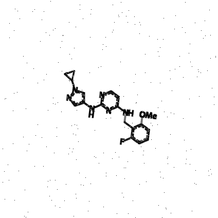 COc1cccc(F)c1CNc1ccnc(Nc2cnn(C3CC3)c2)n1